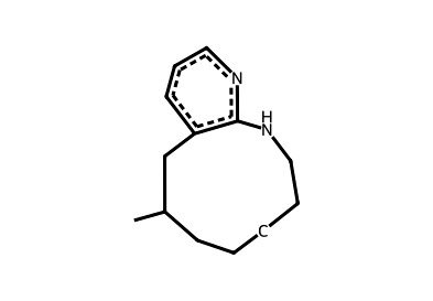 CC1CCCCCNc2ncccc2C1